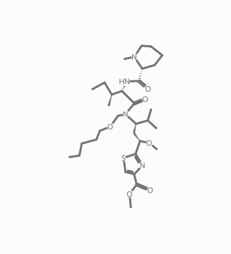 CCCCCOCN(C(=O)[C@@H](NC(=O)[C@H]1CCCCN1C)[C@@H](C)CC)[C@H](C[C@@H](OC)c1nc(C(=O)OC)cs1)C(C)C